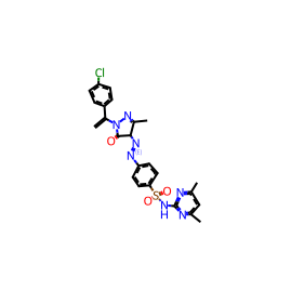 C=C(c1ccc(Cl)cc1)N1N=C(C)C(/N=N/c2ccc(S(=O)(=O)Nc3nc(C)cc(C)n3)cc2)C1=O